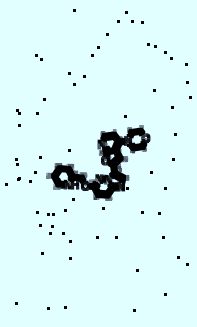 c1cc(N2CCOCC2)c2cc(-c3cnc4ccc(OCC5CCCCN5)nn34)oc2n1